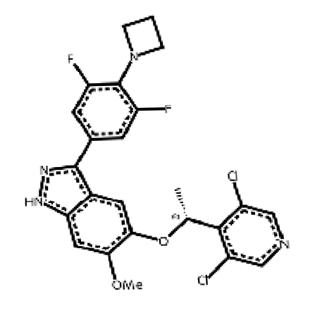 COc1cc2[nH]nc(-c3cc(F)c(N4CCC4)c(F)c3)c2cc1O[C@H](C)c1c(Cl)cncc1Cl